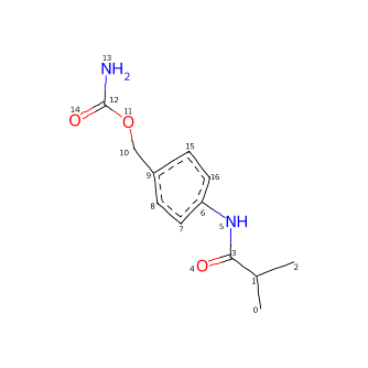 CC(C)C(=O)Nc1ccc(COC(N)=O)cc1